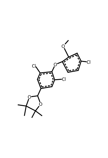 COc1cc(Cl)ccc1Oc1c(Cl)cc(C2OC(C)(C)C(C)(C)O2)cc1Cl